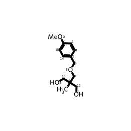 COc1ccc(COCC(C)(CO)CO)cc1